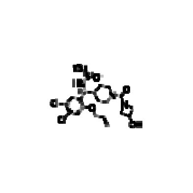 C=CCOc1cc(Cl)c(Cl)cc1[C@H](N[S@@+]([O-])C(C)(C)C)C1CCN(C(=O)N2CC(O)C2)CC1